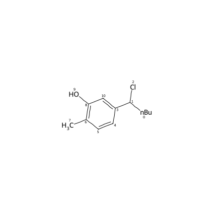 CCCCC(Cl)c1ccc(C)c(O)c1